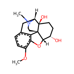 COc1ccc2c3c1O[C@H]1[C@@H](O)CC[C@@]4(O)[C@@H](C2)N(C)CC[C@]314